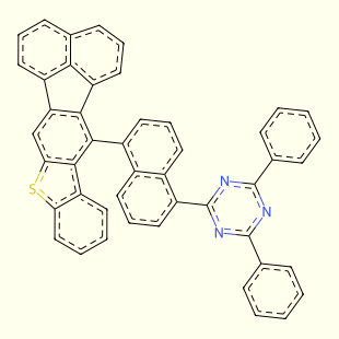 c1ccc(-c2nc(-c3ccccc3)nc(-c3cccc4c(-c5c6c(cc7sc8ccccc8c57)-c5cccc7cccc-6c57)cccc34)n2)cc1